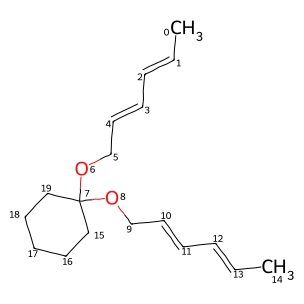 CC=CC=CCOC1(OCC=CC=CC)CCCCC1